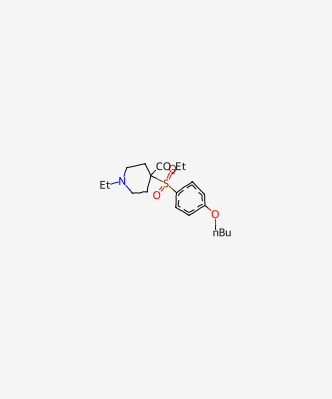 CCCCOc1ccc(S(=O)(=O)C2(C(=O)OCC)CCN(CC)CC2)cc1